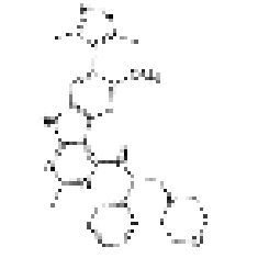 COc1cc2c(cc1-c1c(C)noc1C)[nH]c1nc(C)nc(N[C@H](CN3CCOCC3)c3ccccc3)c12